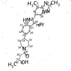 Cc1nc2c(C)cc(-c3[nH]c4ccc(C5CCN(C(=O)C[C@@H](C)O)CC5)cc4c3C(C)C)cn2n1